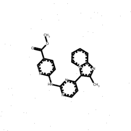 COC(=O)c1ccc(Nc2nccc(-c3c(C)nc4ccccn34)n2)nc1